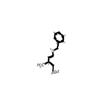 CCCCCCCCCC(C)C=COCc1ccccc1